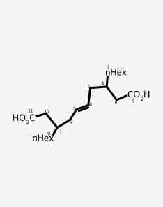 CCCCCCC(C/C=C/CC(CCCCCC)CC(=O)O)CC(=O)O